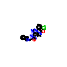 O=C1c2c(Cl)cccc2-n2cnc(-c3noc(Cn4cc5ccccc5c4)n3)c2[C@@H]2CCN12